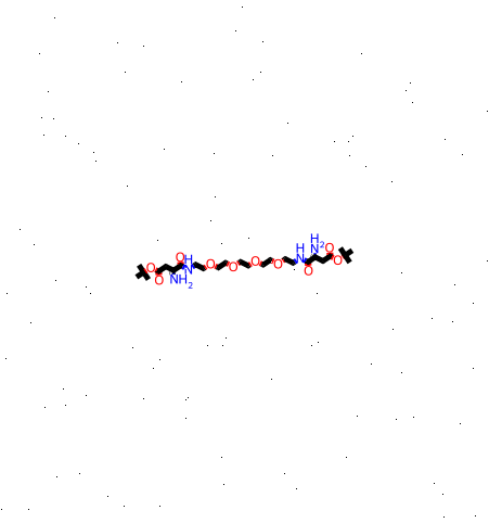 CC(C)(C)OC(=O)C[C@H](N)C(=O)NCCOCCOCCOCCOCCNC(=O)[C@@H](N)CC(=O)OC(C)(C)C